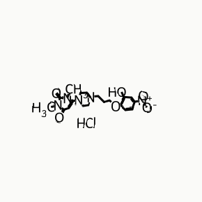 Cl.Cn1c(N2CCN(CCCOc3ccc([N+](=O)[O-])cc3O)CC2)cc(=O)n(C)c1=O